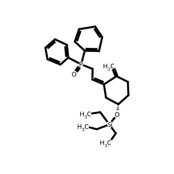 C=C1CC[C@H](O[Si](CC)(CC)CC)C/C1=C/CP(=O)(c1ccccc1)c1ccccc1